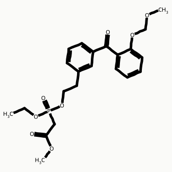 CCOP(=O)(CC(=O)OC)OCCc1cccc(C(=O)c2ccccc2OCOC)c1